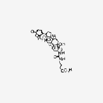 C[C@]12CC[C@H](NC(=O)NCCCC(=O)O)C[C@@]1(O)CC[C@@H]1[C@@H]2CC[C@]2(C)[C@@H](c3ccc(=O)oc3)CC[C@]12O